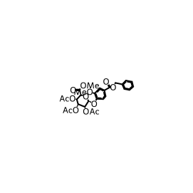 COC(=O)[C@H]1O[C@@H](Oc2ccc(C(=O)OCc3ccccc3)cc2OC)[C@H](OC(C)=O)[C@@H](OC(C)=O)[C@@H]1OC(C)=O